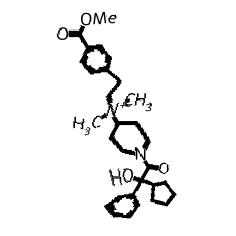 COC(=O)c1ccc(CC[N+](C)(C)C2CCN(C(=O)C(O)(c3ccccc3)C3CCCC3)CC2)cc1